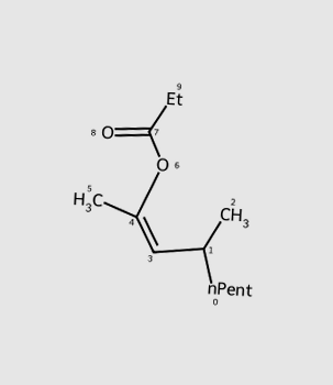 CCCCCC(C)C=C(C)OC(=O)CC